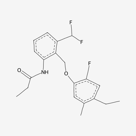 CCC(=O)Nc1cccc(C(F)F)c1COc1cc(C)c(CC)cc1F